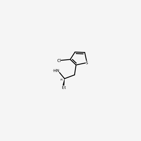 CC[C@@H]([NH])Cc1sccc1Cl